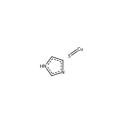 [S]=[Cu].c1c[nH]cn1